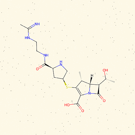 CC(=N)NCCNC(=O)[C@@H]1C[C@H](SC2=C(C(=O)O)N3C(=O)[C@H]([C@@H](C)O)[C@H]3[C@H]2C)CN1